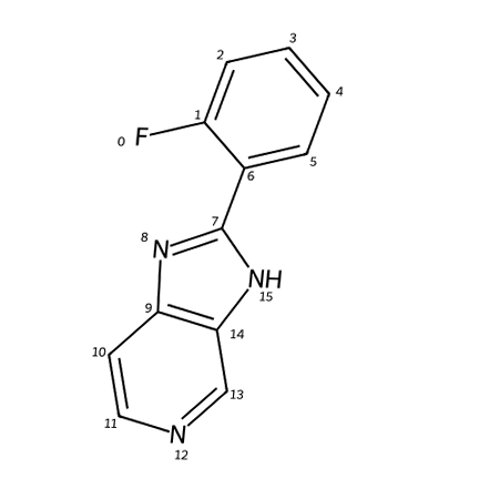 Fc1ccccc1-c1nc2ccncc2[nH]1